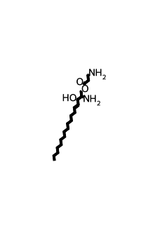 CCCCCCCCCCCCCC=CC(O)C(N)COC(=O)CCN